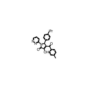 Cc1ccc(C(=O)C2=C(O)C(=O)N(c3cccnn3)C2c2ccc(C(C)C)cc2)cc1